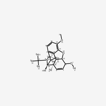 [2H]OC1C=C[C@@]2([2H])[C@@H]3N(C([2H])([2H])[2H])CC[C@@]24c2c(ccc(OC)c2OC14)C3([2H])[2H]